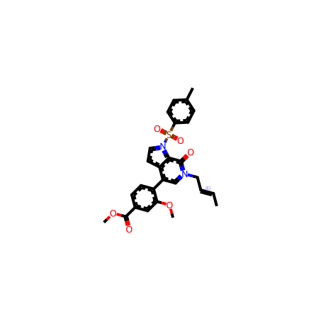 C/C=C/Cn1cc(-c2ccc(C(=O)OC)cc2OC)c2ccn(S(=O)(=O)c3ccc(C)cc3)c2c1=O